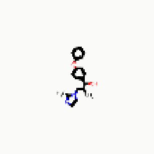 Cc1nccn1CC(C)C(O)c1ccc(Oc2ccccc2)cc1